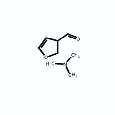 CN(C)C.O=CC1C=COC1